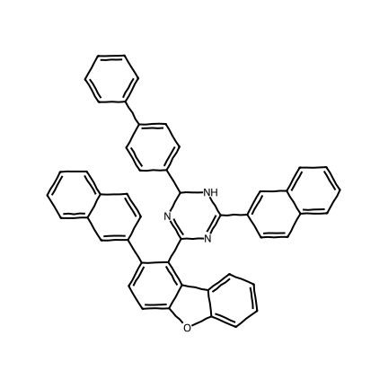 c1ccc(-c2ccc(C3N=C(c4c(-c5ccc6ccccc6c5)ccc5oc6ccccc6c45)N=C(c4ccc5ccccc5c4)N3)cc2)cc1